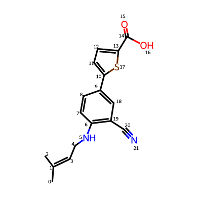 CC(C)=CCNc1ccc(-c2ccc(C(=O)O)s2)cc1C#N